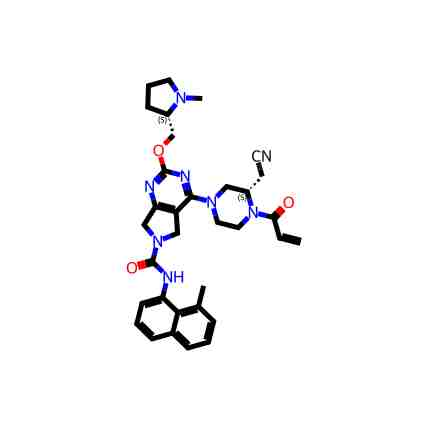 C=CC(=O)N1CCN(c2nc(OC[C@@H]3CCCN3C)nc3c2CN(C(=O)Nc2cccc4cccc(C)c24)C3)C[C@@H]1CC#N